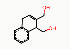 OCC1=CCc2ccccc2C1CO